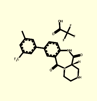 Cc1cc(-c2ccc3c(c2)C(=O)N2CCNC[C@H]2C(=O)N3)cc(C(F)(F)F)c1.O=C(O)C(F)(F)F